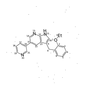 CCOc1ccccc1Cc1c[nH]c2ncc(-c3cccnc3)cc12